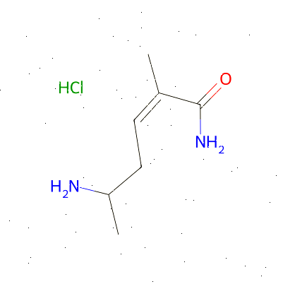 CC(=CCC(C)N)C(N)=O.Cl